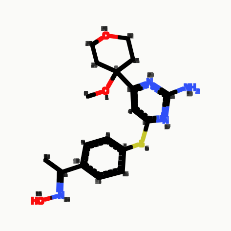 COC1(c2cc(Sc3ccc(C(C)=NO)cc3)nc(N)n2)CCOCC1